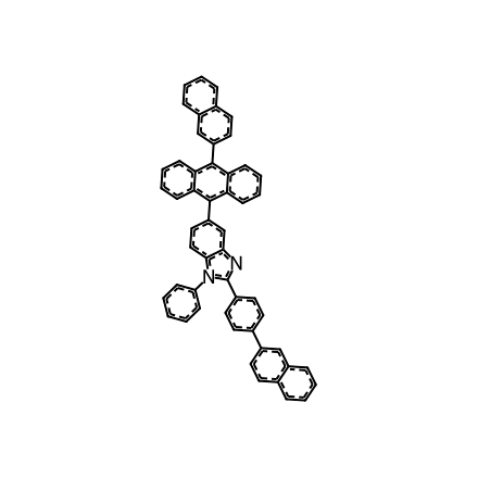 c1ccc(-n2c(-c3ccc(-c4ccc5ccccc5c4)cc3)nc3cc(-c4c5ccccc5c(-c5ccc6ccccc6c5)c5ccccc45)ccc32)cc1